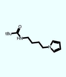 CC(C)(C)C(=O)NCCCCn1cccc1